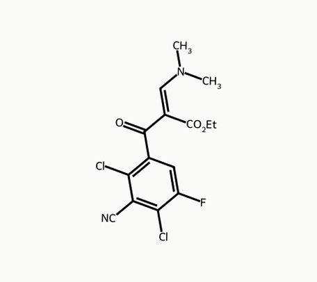 CCOC(=O)/C(=C\N(C)C)C(=O)c1cc(F)c(Cl)c(C#N)c1Cl